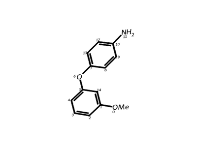 COc1cccc(Oc2c[c]c(N)cc2)c1